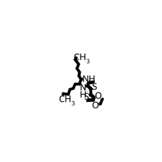 CCCCCCC1Nc2csc(-c3scc4c3OCCO4)c2NC1CCCCCC